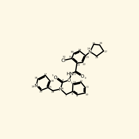 O=C(NOC(=O)N(Cc1ccccc1)Cc1cccnc1)c1cc(N2CCCC2)ccc1Cl